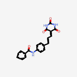 O=C1NC(=O)C(=C/C=C/c2ccc(NC(=O)c3ccccc3)cc2)C(=O)N1